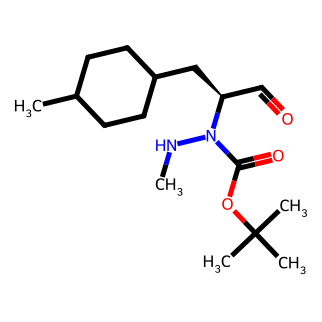 CNN(C(=O)OC(C)(C)C)[C@H](C=O)CC1CCC(C)CC1